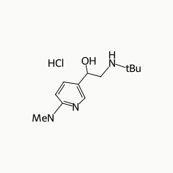 CNc1ccc(C(O)CNC(C)(C)C)cn1.Cl